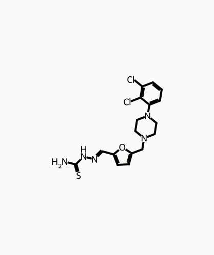 NC(=S)N/N=C/c1ccc(CN2CCN(c3cccc(Cl)c3Cl)CC2)o1